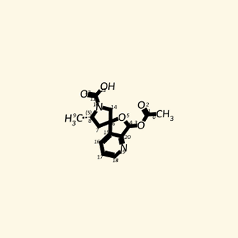 CC(=O)OC1OC2(C[C@H](C)N(C(=O)O)C2)c2cccnc21